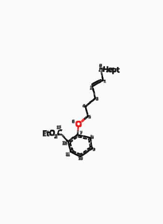 CCCCCCCC=CCCCOc1ccccc1C(=O)OCC